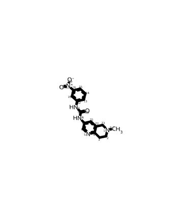 CN1CCc2ncc(NC(=O)Nc3cccc([N+](=O)[O-])c3)cc2C1